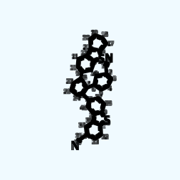 N#Cc1cccc(-c2c(-c3ccc4c(c3)sc3ccccc34)cccc2-c2ccc3sc4ccc(C#N)cc4c3c2)c1